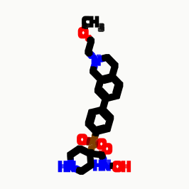 COCCN1CCc2ccc(-c3ccc(S(=O)(=O)C4(C(=O)NO)CCNCC4)cc3)cc2C1